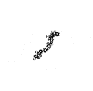 O=C1CCC(N2C(=O)c3ccc(N4CCC(CN5CCC(NC(=O)N6CCN7c8cc(-c9ccccc9O)nnc8NC[C@H]7C6)CC5)CC4)cc3C2=O)C(=O)N1